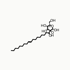 CCCCCCCCC=CCCCCCCCC(=O)[C@]1(O)[C@@H](O)O[C@H](CO)[C@@H](O)[C@@H]1O